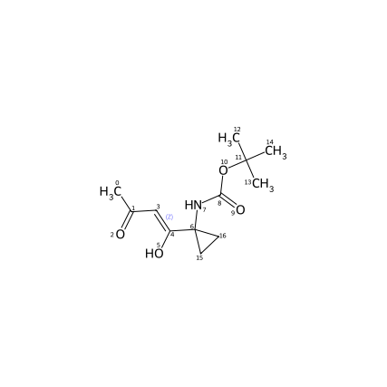 CC(=O)/C=C(\O)C1(NC(=O)OC(C)(C)C)CC1